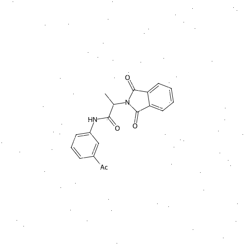 CC(=O)c1cccc(NC(=O)C(C)N2C(=O)c3ccccc3C2=O)c1